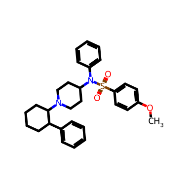 COc1ccc(S(=O)(=O)N(c2ccccc2)C2CCN(C3CCCCC3c3ccccc3)CC2)cc1